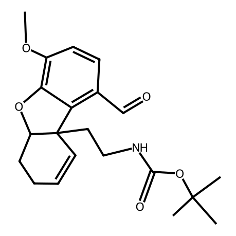 COc1ccc(C=O)c2c1OC1CCC=CC21CCNC(=O)OC(C)(C)C